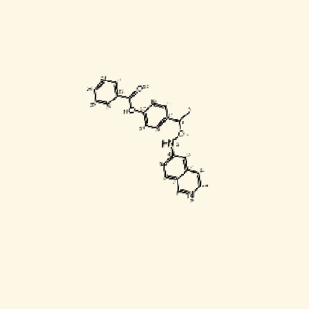 CC(ONc1ccc2cnccc2c1)c1ccc(OC(=O)c2ccccc2)cc1